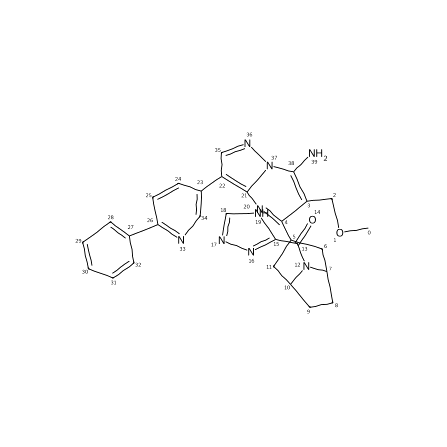 COCc1c(C2CC3CCC(C2)N3C(=O)c2nnc[nH]2)nc2c(-c3ccc(-c4ccccc4)nc3)cnn2c1N